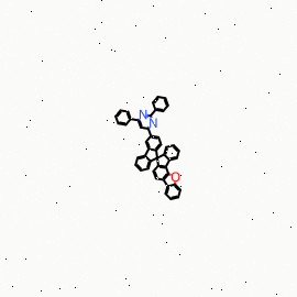 c1ccc(-c2cc(-c3ccc4c(c3)-c3ccccc3C43c4ccccc4-c4c3ccc3c4oc4ccccc43)nc(-c3ccccc3)n2)cc1